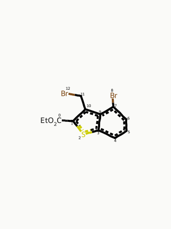 CCOC(=O)c1sc2cccc(Br)c2c1CBr